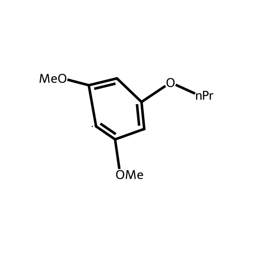 CCCOc1cc(OC)[c]c(OC)c1